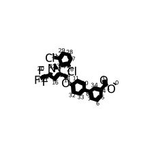 COC(=O)c1cccc(-c2ccc(OCc3cc(C(F)(F)F)nn3-c3c(Cl)cccc3Cl)cc2)c1